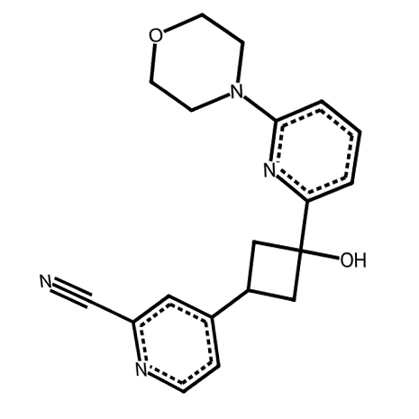 N#Cc1cc(C2CC(O)(c3cccc(N4CCOCC4)n3)C2)ccn1